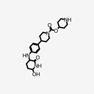 O=C1NC(O)CCC1Nc1ccc(C2CCN(C(=O)OC3CCNCC3)CC2)cc1